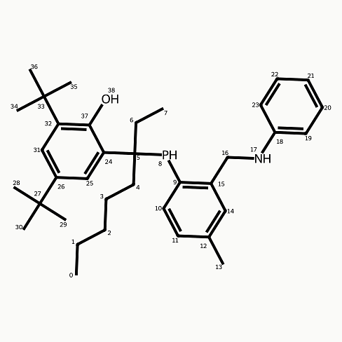 CCCCCC(CC)(Pc1ccc(C)cc1CNc1ccccc1)c1cc(C(C)(C)C)cc(C(C)(C)C)c1O